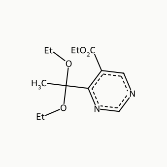 CCOC(=O)c1cncnc1C(C)(OCC)OCC